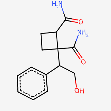 NC(=O)C1CCC1(C(N)=O)C(CO)c1ccccc1